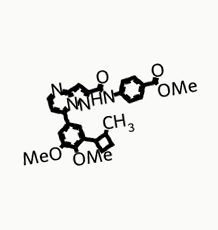 COC(=O)c1ccc(NC(=O)c2cc3nccc(-c4cc(OC)c(OC)c(C5CCC5C)c4)n3n2)cc1